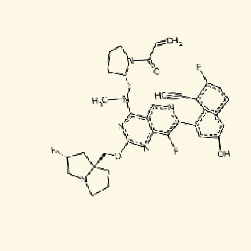 C#Cc1c(F)ccc2cc(O)cc(-c3ncc4c(N(C)C[C@@H]5CCCN5C(=O)C=C)nc(OC[C@@]56CCCN5C[C@H](F)C6)nc4c3F)c12